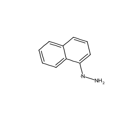 N[N]c1cccc2ccccc12